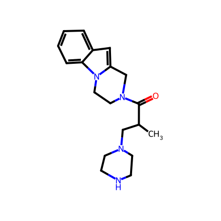 CC(CN1CCNCC1)C(=O)N1CCn2c(cc3ccccc32)C1